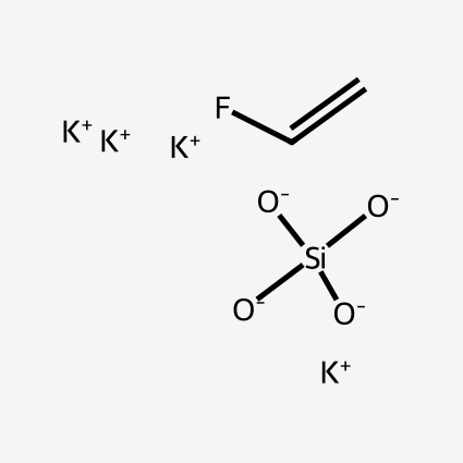 C=CF.[K+].[K+].[K+].[K+].[O-][Si]([O-])([O-])[O-]